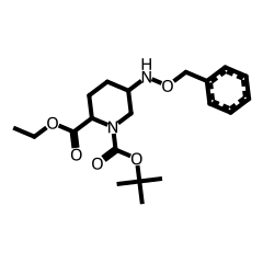 CCOC(=O)C1CCC(NOCc2ccccc2)CN1C(=O)OC(C)(C)C